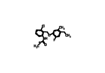 CCc1cc(F)c(OCc2c(Cl)cccc2NC(=O)SC)cc1C